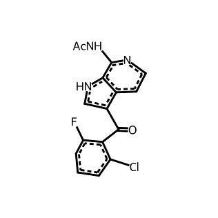 CC(=O)Nc1nccc2c(C(=O)c3c(F)cccc3Cl)c[nH]c12